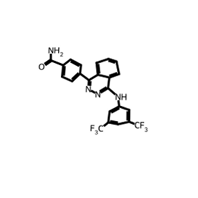 NC(=O)c1ccc(-c2nnc(Nc3cc(C(F)(F)F)cc(C(F)(F)F)c3)c3ccccc23)cc1